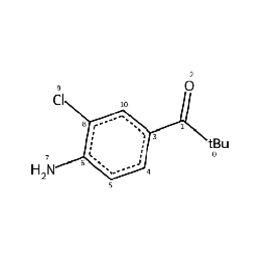 CC(C)(C)C(=O)c1ccc(N)c(Cl)c1